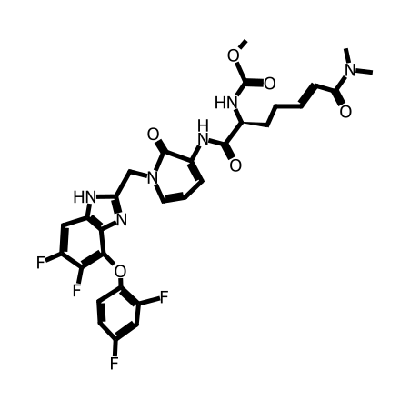 COC(=O)N[C@@H](CC/C=C/C(=O)N(C)C)C(=O)Nc1cccn(Cc2nc3c(Oc4ccc(F)cc4F)c(F)c(F)cc3[nH]2)c1=O